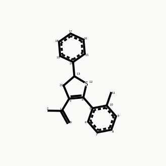 C=C(C)C1=C(c2ccccc2C)SC(c2ccccc2)C1